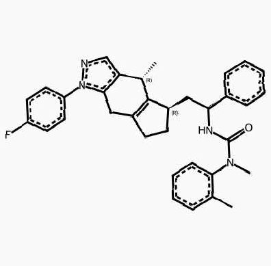 Cc1ccccc1N(C)C(=O)NC(C[C@H]1CCC2=C1[C@@H](C)c1cnn(-c3ccc(F)cc3)c1C2)c1ccccc1